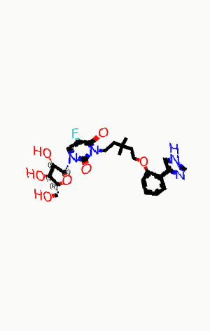 CC(C)(CCOc1ccccc1-c1c[nH]cn1)CCn1c(=O)c(F)cn([C@@H]2O[C@H](CO)[C@@H](O)[C@@H]2O)c1=O